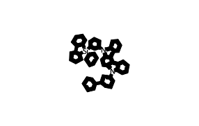 c1ccc(-c2cccc(-n3c4ccccc4c4c5c6ccccc6n(-c6cccc([Si]7(c8ccccc8)c8ccccc8-c8ccccc87)c6)c5ccc43)c2)cc1